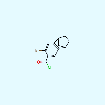 O=C(Cl)c1cc2c(cc1Br)C1CCC2C1